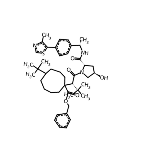 Cc1ncsc1-c1ccc([C@H](C)NC(=O)[C@@H]2C[C@@H](O)CN2C(=O)[C@H](C(C)(C)C)C2(C(=O)OCc3ccccc3)CCCCC(C(C)(C)C)CCC2)cc1